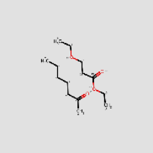 CCCCCC(C)=O.CCOCCC(=O)OCC